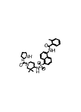 Cc1ccccc1C(=O)Nc1cccc2c(S(=O)(=O)NC3CCN(C(=O)[C@@H]4CCCN4)CC3(C)C)cccc12